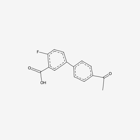 CC(=O)c1ccc(-c2ccc(F)c(C(=O)O)c2)cc1